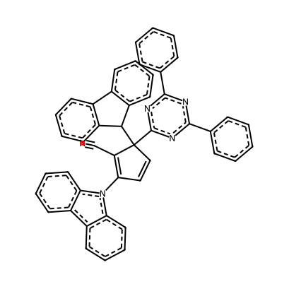 N#CC1=C(n2c3ccccc3c3ccccc32)C=CC1(c1nc(-c2ccccc2)nc(-c2ccccc2)n1)C1c2ccccc2-c2ccccc21